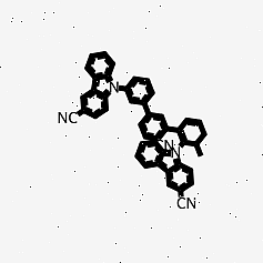 CC1CC=CC(c2cc(-c3cccc(-n4c5ccccc5c5cc(C#N)ccc54)c3)ccc2C#N)=C1n1c2ccccc2c2cc(C#N)ccc21